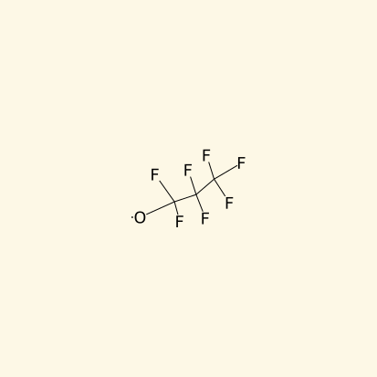 [O]C(F)(F)C(F)(F)C(F)(F)F